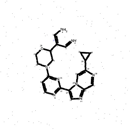 N=C/C(=C\N)C1CN(c2ccnc(-c3cnc4cnc(C5CC5)cn34)n2)CCO1